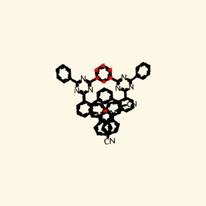 N#Cc1ccc2c(c1)c1ccccc1n2-c1cccc(-c2nc(-c3ccccc3)nc(-c3ccccc3)n2)c1-c1cccc(-c2c(-c3nc(-c4ccccc4)nc(-c4ccccc4)n3)cccc2-n2c3ccccc3c3cc(C#N)ccc32)c1